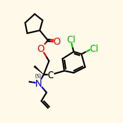 C=CCN(C)[C@](C)(COC(=O)C1CCCC1)Cc1ccc(Cl)c(Cl)c1